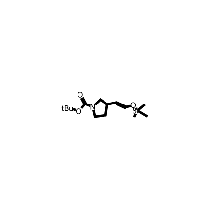 CC(C)(C)OC(=O)N1CCC(C=CO[Si](C)(C)C)C1